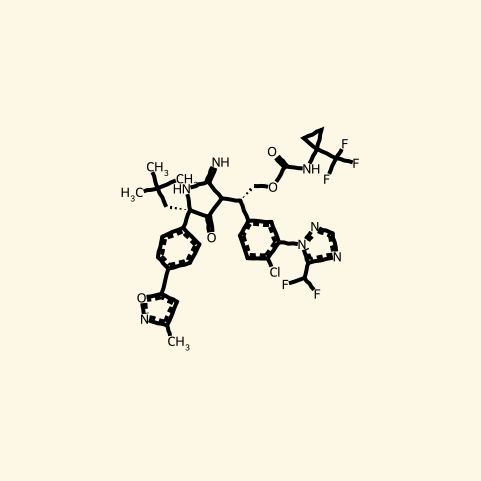 Cc1cc(-c2ccc([C@@]3(CC(C)(C)C)NC(=N)C([C@H](COC(=O)NC4(C(F)(F)F)CC4)c4ccc(Cl)c(-n5ncnc5C(F)F)c4)C3=O)cc2)on1